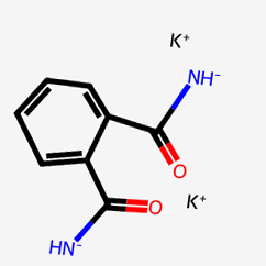 [K+].[K+].[NH-]C(=O)c1ccccc1C([NH-])=O